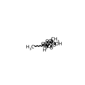 CCCCCCCC(=O)Nc1nc(=O)n([C@@H]2O[C@H](C)[C@H](CC(=O)O)[C@H]2CC(=O)O)cc1F